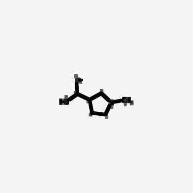 CC(C)C(O)C1CCN(C)C1